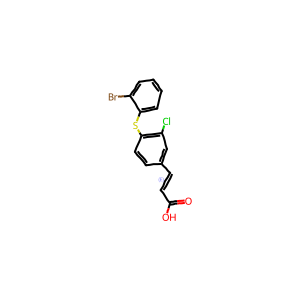 O=C(O)/C=C/c1ccc(Sc2ccccc2Br)c(Cl)c1